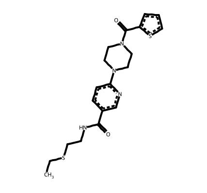 CCSCCNC(=O)c1ccc(N2CCN(C(=O)c3cccs3)CC2)nc1